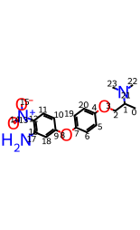 CC(COc1ccc(Oc2ccc([N+](=O)[O-])c(N)c2)cc1)N(C)C